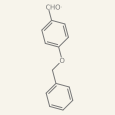 O=[C]c1ccc(OCc2ccccc2)cc1